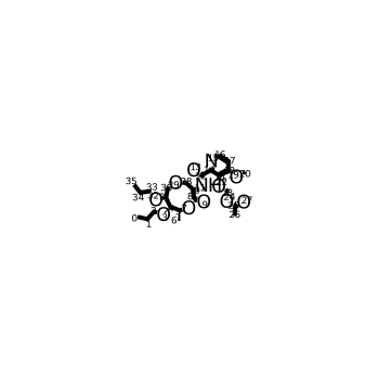 CCCO[C@H]1[C@H](C)OC(=O)[C@@H](NC(=O)c2nccc(OC)c2OCOC(C)=O)COC[C@@H]1OCCC